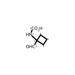 O=CC1(NC(=O)O)CCC1